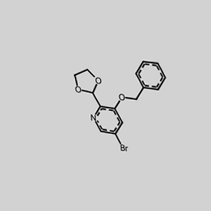 Brc1cnc(C2OCCO2)c(OCc2ccccc2)c1